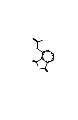 C=C(Br)Cc1cccc2c1C(=O)NC2=O